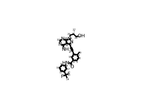 Cc1ccc(C(=O)Nc2cccc(C(C)(F)F)c2)cc1C#Cc1nn(C[C@H](C)CO)c2ncnc(N)c12